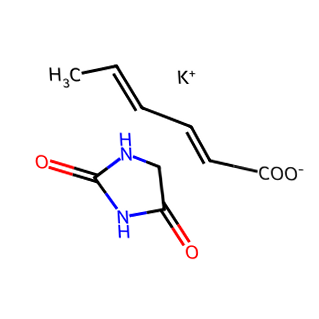 C/C=C/C=C/C(=O)[O-].O=C1CNC(=O)N1.[K+]